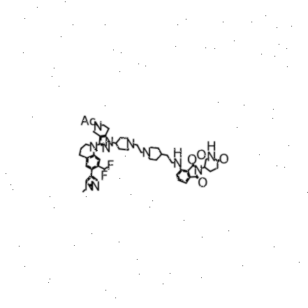 CC(=O)N1CCc2c(c(N3CCCc4cc(-c5cnn(C)c5)c(C(F)F)cc43)nn2C2CCN(CCN3CCC(CCNc4cccc5c4C(=O)N(C4CCC(=O)NC4=O)C5=O)CC3)CC2)C1